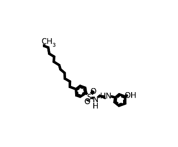 CCCCCCCCCCCCc1ccc(S(=O)(=O)NCCNc2cccc(O)c2)cc1